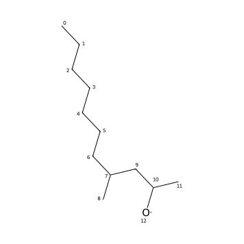 CCCCCCCC(C)CC(C)[O]